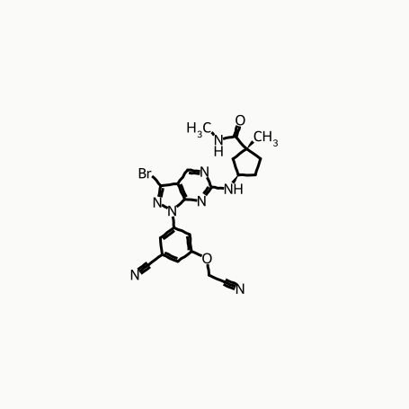 CNC(=O)[C@]1(C)CC[C@@H](Nc2ncc3c(Br)nn(-c4cc(C#N)cc(OCC#N)c4)c3n2)C1